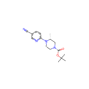 C[C@@H]1CN(C(=O)OC(C)(C)C)CCN1c1ccc(C#N)cn1